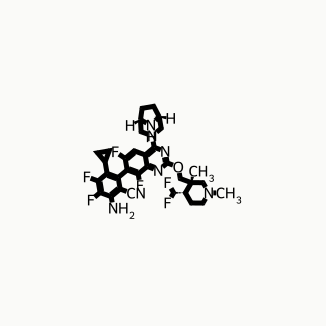 CN1CC[C@H](C(F)F)[C@](C)(COc2nc(N3C[C@H]4CC[C@@H](C3)N4)c3cc(F)c(-c4c(C#N)c(N)c(F)c(F)c4C4CC4)c(F)c3n2)C1